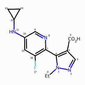 CCn1ncc(C(=O)O)c1-c1ncc(NC2CC2)cc1F